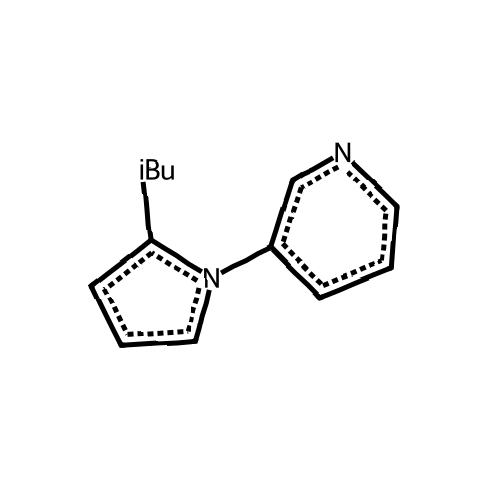 CCC(C)c1cccn1-c1cccnc1